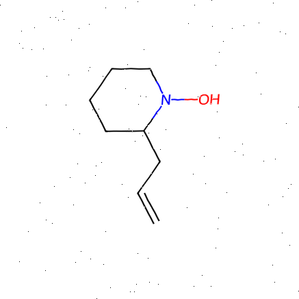 C=CCC1CCCCN1O